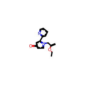 C=C(Cn1ccc(=O)cc1-c1ccccn1)OCC